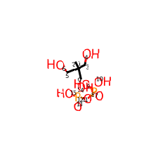 CC(C)(CO)CO.O=P(O)(O)OP(=O)(O)O